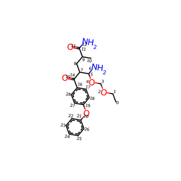 CCOCOC(N)C(CC(C)C(N)=O)C(=O)c1ccc(Oc2ccccc2)cc1